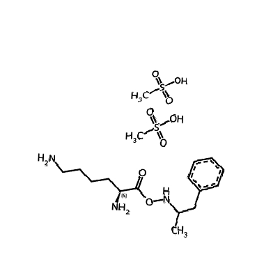 CC(Cc1ccccc1)NOC(=O)[C@@H](N)CCCCN.CS(=O)(=O)O.CS(=O)(=O)O